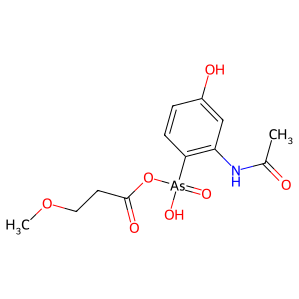 COCCC(=O)O[As](=O)(O)c1ccc(O)cc1NC(C)=O